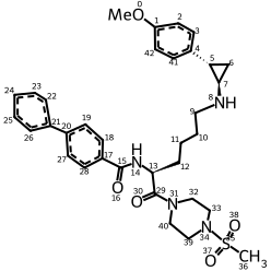 COc1ccc([C@@H]2C[C@H]2NCCCC[C@H](NC(=O)c2ccc(-c3ccccc3)cc2)C(=O)N2CCN(S(C)(=O)=O)CC2)cc1